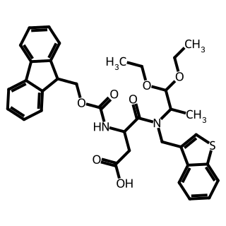 CCOC(OCC)C(C)N(Cc1csc2ccccc12)C(=O)C(CC(=O)O)NC(=O)OCC1c2ccccc2-c2ccccc21